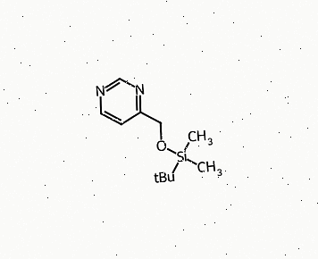 CC(C)(C)[Si](C)(C)OCc1ccncn1